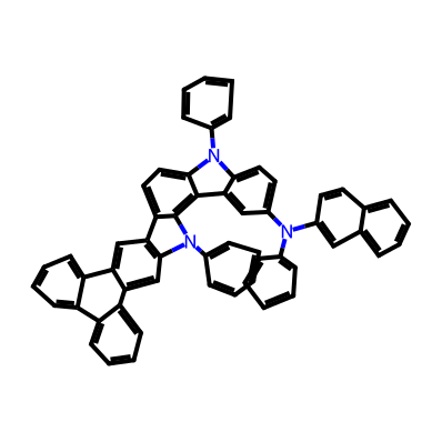 c1ccc(N(c2ccc3ccccc3c2)c2ccc3c(c2)c2c(ccc4c5cc6c7ccccc7c7ccccc7c6cc5n(-c5ccccc5)c42)n3-c2ccccc2)cc1